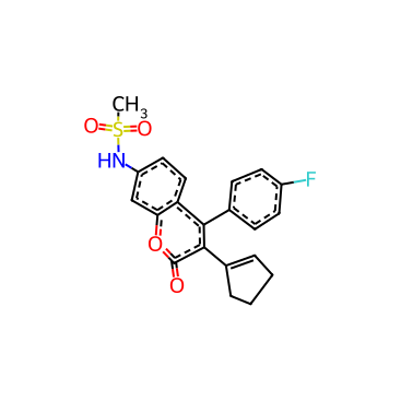 CS(=O)(=O)Nc1ccc2c(-c3ccc(F)cc3)c(C3=CCCC3)c(=O)oc2c1